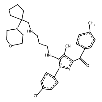 Cc1ccc(C(=O)c2nn(-c3ccc(Cl)cc3)c(NCCCNCC3(N4CCOCC4)CCCC3)c2C#N)cc1